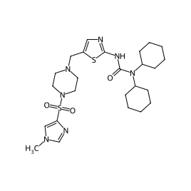 Cn1cnc(S(=O)(=O)N2CCN(Cc3cnc(NC(=O)N(C4CCCCC4)C4CCCCC4)s3)CC2)c1